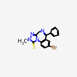 Cn1nc2n(c1=S)-c1ccc(Br)cc1C(c1ccccc1)=NC2